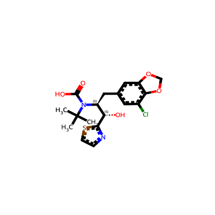 CC(C)(C)N(C(=O)O)[C@@H](Cc1cc(Cl)c2c(c1)OCO2)[C@H](O)c1nccs1